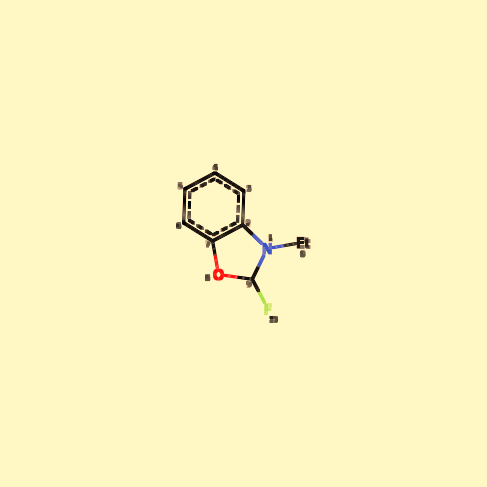 CCN1c2ccccc2OC1F